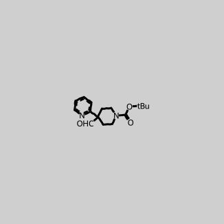 CC(C)(C)OC(=O)N1CCC(C=O)(c2ccccn2)CC1